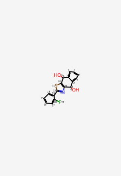 OC1c2ccccc2C(O)c2sc(-c3ccccc3F)nc21